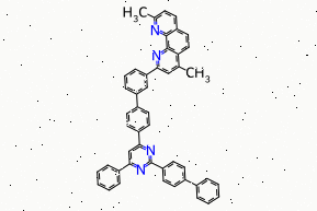 Cc1ccc2ccc3c(C)cc(-c4cccc(-c5ccc(-c6cc(-c7ccccc7)nc(-c7ccc(-c8ccccc8)cc7)n6)cc5)c4)nc3c2n1